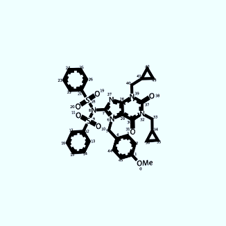 COc1ccc(Cn2c(N(S(=O)(=O)c3ccccc3)S(=O)(=O)c3ccccc3)nc3c2c(=O)n(CC2CC2)c(=O)n3CC2CC2)cc1